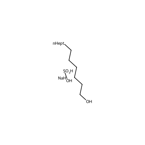 CCCCCCCCCCCCCO.O=S(=O)(O)O.[NaH]